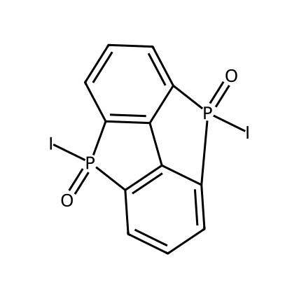 O=P1(I)c2cccc3c2-c2c1cccc2P3(=O)I